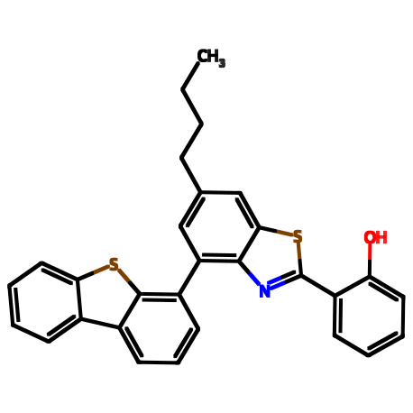 CCCCc1cc(-c2cccc3c2sc2ccccc23)c2nc(-c3ccccc3O)sc2c1